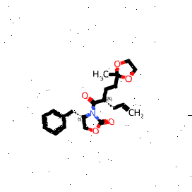 C=CC[C@@H](CCC1(C)OCCO1)C(=O)N1C(=O)OC[C@@H]1Cc1ccccc1